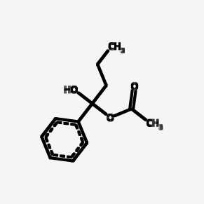 CCCC(O)(OC(C)=O)c1ccccc1